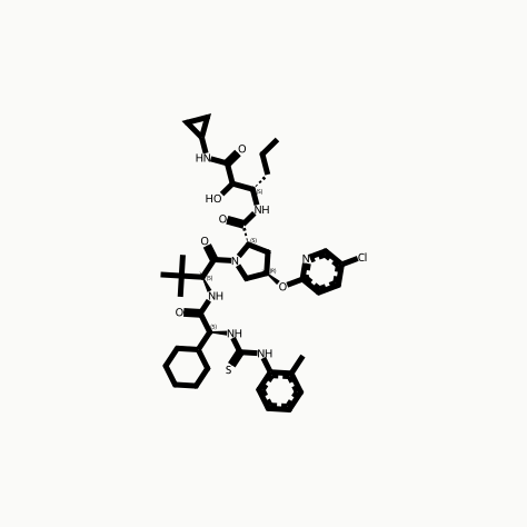 CCC[C@H](NC(=O)[C@@H]1C[C@@H](Oc2ccc(Cl)cn2)CN1C(=O)[C@@H](NC(=O)[C@@H](NC(=S)Nc1ccccc1C)C1CCCCC1)C(C)(C)C)C(O)C(=O)NC1CC1